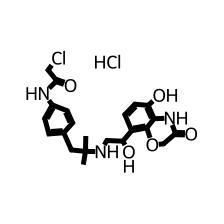 CC(C)(Cc1ccc(NC(=O)CCl)cc1)NCC(O)c1ccc(O)c2c1OCC(=O)N2.Cl